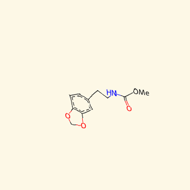 COC(=O)NCCc1ccc2c(c1)OCO2